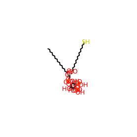 CCCCCCCCCCCCCCCC(=O)O[C@H](COC(=O)CCCCCCCCCCCCCCS)COP(=O)(O)OC1C(O)[C@@H](OP(=O)(O)O)C(OP(=O)(O)O)[C@@H](O)[C@H]1O